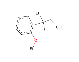 CCOc1ccccc1C(C)(CC)CC(Cl)(Cl)Cl